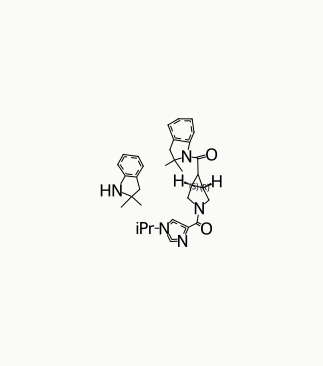 CC(C)n1cnc(C(=O)N2C[C@@H]3C(C(=O)N4c5ccccc5CC4(C)C)[C@@H]3C2)c1.CC1(C)Cc2ccccc2N1